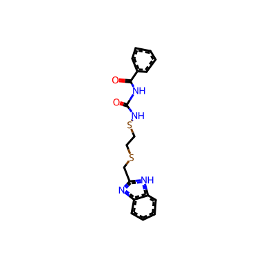 O=C(NSCCSCc1nc2ccccc2[nH]1)NC(=O)c1ccccc1